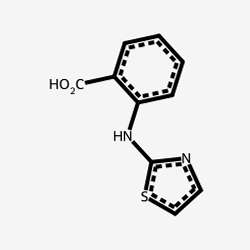 O=C(O)c1ccccc1Nc1nccs1